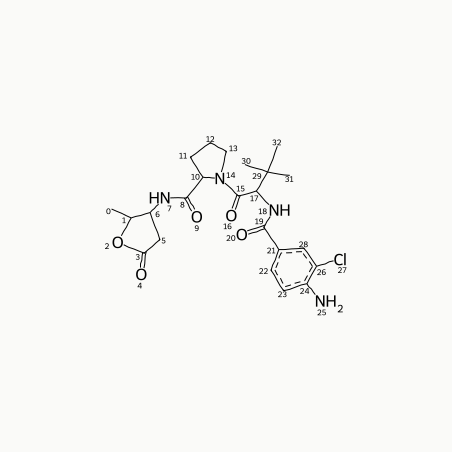 CC1OC(=O)CC1NC(=O)C1CCCN1C(=O)C(NC(=O)c1ccc(N)c(Cl)c1)C(C)(C)C